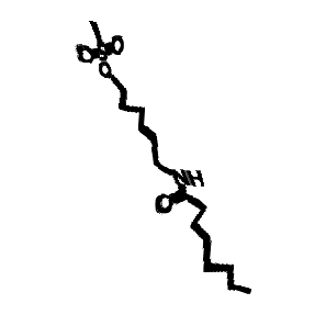 CCCCCCCC(=O)NCCCCCCOS(C)(=O)=O